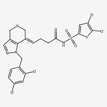 O=C(CC/C=C1\COCc2cnn(Cc3ccc(Cl)cc3Cl)c21)NS(=O)(=O)c1cc(Cl)c(Cl)s1